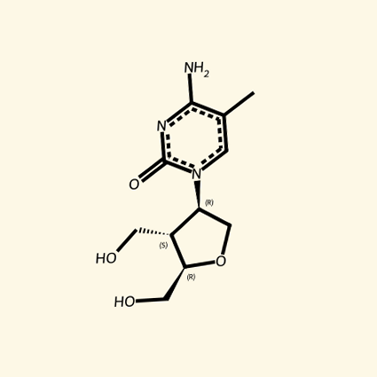 Cc1cn([C@H]2CO[C@@H](CO)[C@@H]2CO)c(=O)nc1N